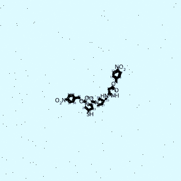 N=C(CC(=O)OCc1ccc([N+](=O)[O-])cc1)NC[C@H]1CCN(C(=O)[C@@H]2C[C@H](S)CN2C(=O)OCc2ccc([N+](=O)[O-])cc2)C1